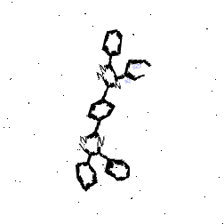 C/C=C\C(=C/C)c1nc(-c2ccc(-c3nnc(-c4ccccc4)c(-c4ccccc4)n3)cc2)nnc1-c1ccccc1